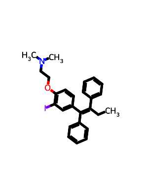 CC/C(=C(\c1ccccc1)c1ccc(OCCN(C)C)c(I)c1)c1ccccc1